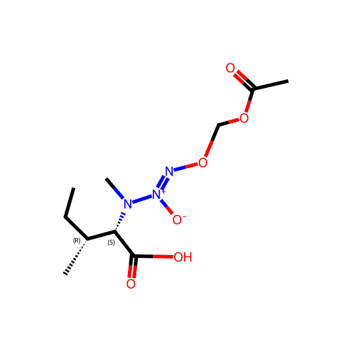 CC[C@@H](C)[C@@H](C(=O)O)N(C)[N+]([O-])=NOCOC(C)=O